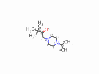 CC(C)N1CCN(CC(=O)C(C)(C)C)CC1